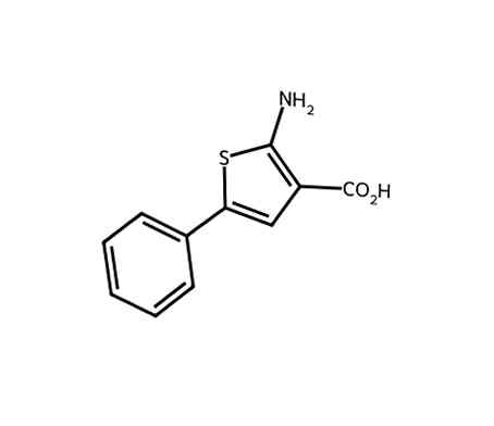 Nc1sc(-c2ccccc2)cc1C(=O)O